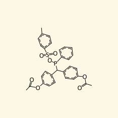 CC(=O)Oc1ccc(C(c2ccc(OC(C)=O)cc2)P(OS(=O)(=O)c2ccc(C)cc2)c2ccccc2)cc1